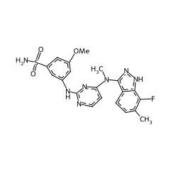 COc1cc(Nc2nccc(N(C)c3n[nH]c4c(F)c(C)ccc34)n2)cc(S(N)(=O)=O)c1